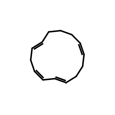 [C]1=C/C=C\C/C=C/CCC/C=C\CC/1